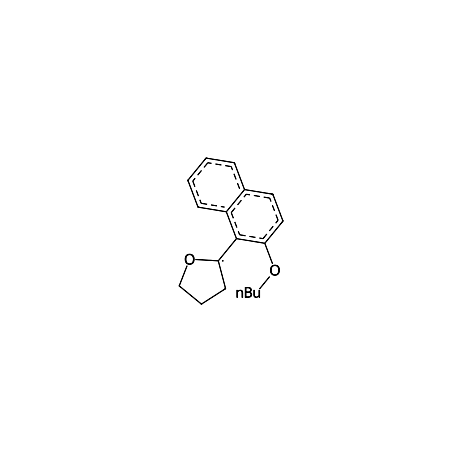 CCCCOc1ccc2ccccc2c1[C]1CCCO1